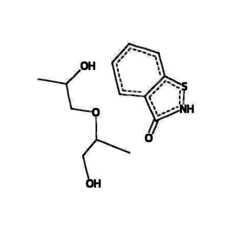 CC(O)COC(C)CO.O=c1[nH]sc2ccccc12